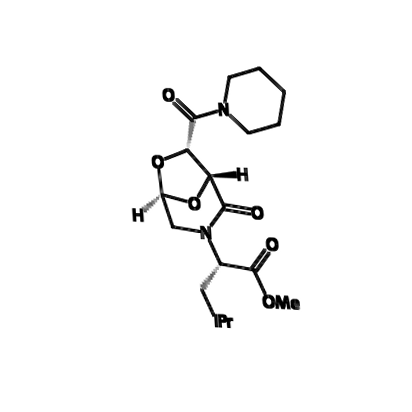 COC(=O)[C@H](CC(C)C)N1C[C@H]2O[C@H](C(=O)N3CCCCC3)[C@@H](O2)C1=O